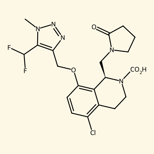 Cn1nnc(COc2ccc(Cl)c3c2[C@@H](CN2CCCC2=O)N(C(=O)O)CC3)c1C(F)F